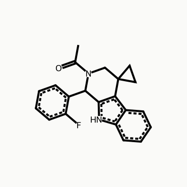 CC(=O)N1CC2(CC2)c2c([nH]c3ccccc23)C1c1ccccc1F